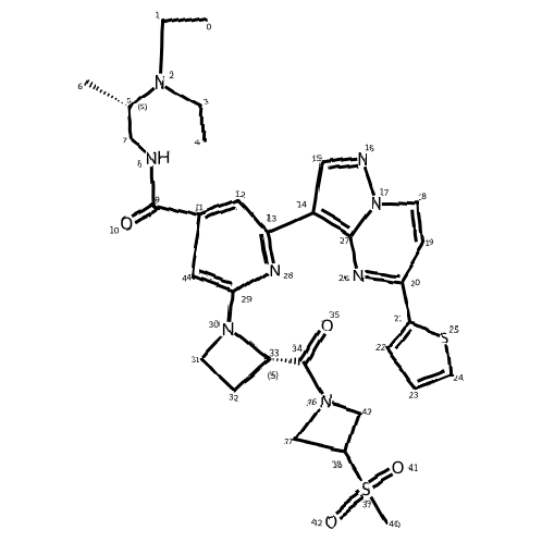 CCN(CC)[C@@H](C)CNC(=O)c1cc(-c2cnn3ccc(-c4cccs4)nc23)nc(N2CC[C@H]2C(=O)N2CC(S(C)(=O)=O)C2)c1